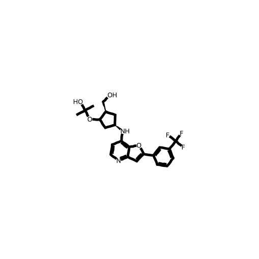 CC(C)(O)OC1C[C@H](Nc2ccnc3cc(-c4cccc(C(F)(F)F)c4)oc23)C[C@@H]1CO